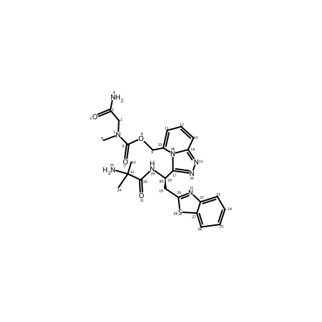 CN(CC(N)=O)C(=O)OCc1cccc2nnc([C@@H](Cc3nc4ccccc4s3)NC(=O)C(C)(C)N)n12